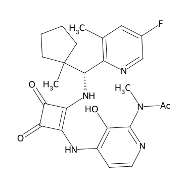 CC(=O)N(C)c1nccc(Nc2c(N[C@@H](c3ncc(F)cc3C)C3(C)CCCC3)c(=O)c2=O)c1O